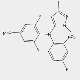 COc1cc(F)c(N(c2ccc(F)cc2[N+](=O)[O-])c2cc(C)nn2C)c(F)c1